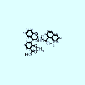 COc1c(C(=O)O)cccc1[C@H]1C[C@H](CN[C@H](C)c2cccc3ccccc23)Oc2ccccc21